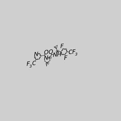 C[C@@H]1C[C@H](C(=O)N[C@H](C2=CC2)c2cc(F)c(C(F)(F)F)cc2F)N(C(=O)c2cncc(C(F)(F)F)c2)C1